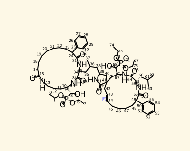 CCOP(=O)(OCC)C(O)[C@@H]1CCCNC(=O)CCCCCCCC(c2ccccc2)C(=O)N[C@@H](CC(C)CC2CC3(C/C=C/CCCCC(c4ccccc4)C(=O)N[C@@H](CC(C)C)C(=O)N[C@H](C(O)P(=O)(OCC)OCC)C3)C(=O)N2)C(=O)N1